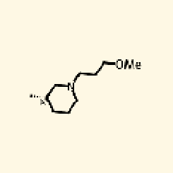 COCCCN1CCC[C@H](C)C1